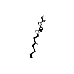 CCCCCCCOOOCC